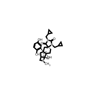 Cc1ccc(O)cc1[C@]12CC3CN(C)[C@H]3[C@]1(O)CC[C@]1(C2)C(=O)N(CC2CC2)C(=O)N1CC1CC1